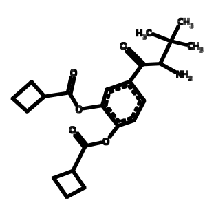 CC(C)(C)C(N)C(=O)c1ccc(OC(=O)C2CCC2)c(OC(=O)C2CCC2)c1